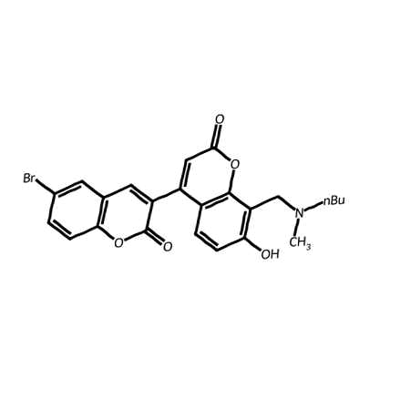 CCCCN(C)Cc1c(O)ccc2c(-c3cc4cc(Br)ccc4oc3=O)cc(=O)oc12